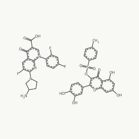 Cc1ccc(S(=O)(=O)Oc2c(-c3ccc(O)c(O)c3)oc3cc(O)cc(O)c3c2=O)cc1.NC1CCN(c2nc3c(cc2F)c(=O)c(C(=O)O)cn3-c2ccc(F)cc2F)C1